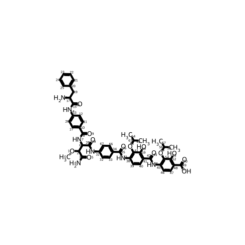 COC(C(N)=O)C(NC(=O)c1ccc(NC(=O)C(N)Cc2ccccc2)cc1)C(=O)Nc1ccc(C(=O)Nc2ccc(C(=O)Nc3ccc(C(=O)O)c(O)c3OC(C)C)c(O)c2OC(C)C)cc1